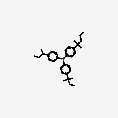 CCCC(C)(C)c1ccc(N(c2ccc(C(C)CC)cc2)c2ccc(C(C)(C)CC)cc2)cc1